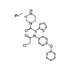 CC(C)C[C@H]1CN(C(=O)[C@H](c2cccs2)N(C(=O)CCl)c2ccc(Oc3ccccc3)cc2)CCN1